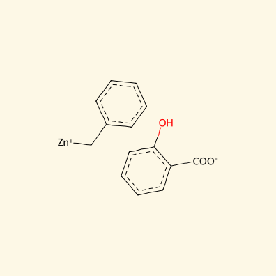 O=C([O-])c1ccccc1O.[Zn+][CH2]c1ccccc1